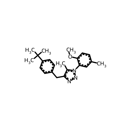 COc1ccc(C)cc1-n1nnc(Cc2ccc(C(C)(C)C)cc2)c1C